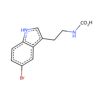 O=C(O)NCCc1c[nH]c2ccc(Br)cc12